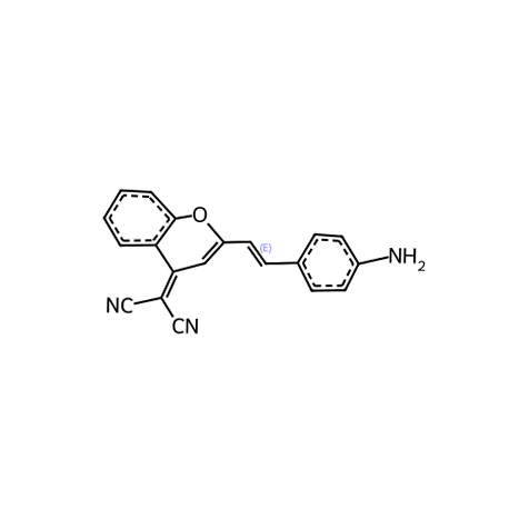 N#CC(C#N)=C1C=C(/C=C/c2ccc(N)cc2)Oc2ccccc21